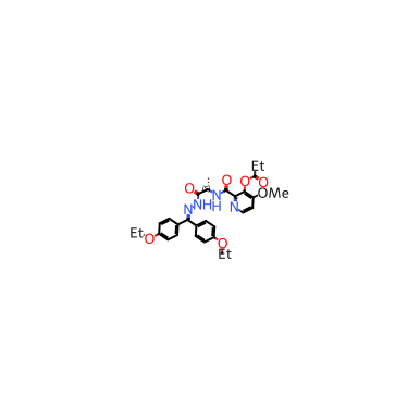 CCOc1ccc(C(=NNC(=O)[C@H](C)NC(=O)c2nccc(OC)c2OC(=O)CC)c2ccc(OCC)cc2)cc1